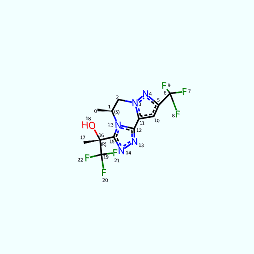 C[C@H]1Cn2nc(C(F)(F)F)cc2-c2nnc([C@@](C)(O)C(F)(F)F)n21